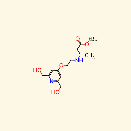 CC(CC(=O)OC(C)(C)C)NCCOc1cc(CO)nc(CO)c1